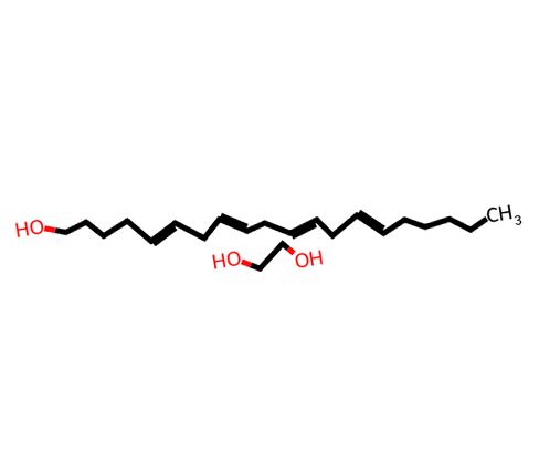 CCCCCC=CCC=CCC=CCC=CCCCCO.OCCO